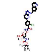 CC(C)(C)OC(=O)NC(C)(CCONC(=O)c1ccc(-c2ccc3nnn(Cc4ccc5ncccc5c4)c3n2)cc1Cl)C(=O)O